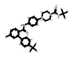 Cc1ccc(C(=O)Nc2ccc(N3CCN(C(=O)OC(C)(C)C)CC3)cc2)c(-c2ccc(C(C)(C)C)cc2)c1